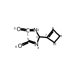 O=C=NC(N=C=O)C1=CCC1